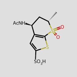 CC(=O)N[C@H]1C[C@H](C)S(=O)(=O)c2sc(S(=O)(=O)O)cc21